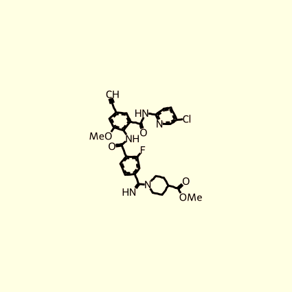 C#Cc1cc(OC)c(NC(=O)c2ccc(C(=N)N3CCC(C(=O)OC)CC3)cc2F)c(C(=O)Nc2ccc(Cl)cn2)c1